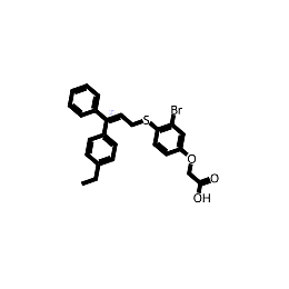 CCc1ccc(/C(=C\CSc2ccc(OCC(=O)O)cc2Br)c2ccccc2)cc1